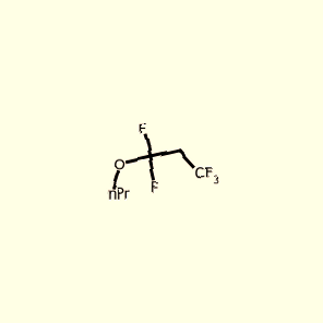 CCCOC(F)(F)CC(F)(F)F